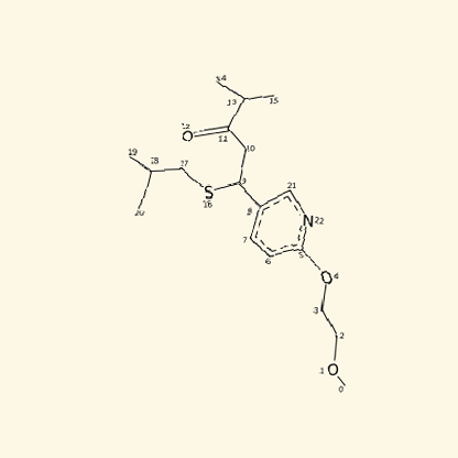 COCCOc1ccc(C(CC(=O)C(C)C)SCC(C)C)cn1